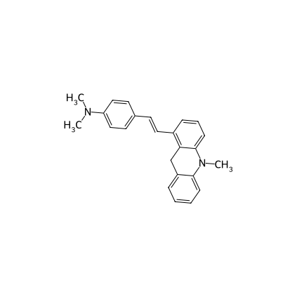 CN(C)c1ccc(C=Cc2cccc3c2Cc2ccccc2N3C)cc1